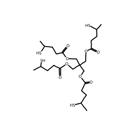 CC(S)CCC(=O)OCC(COC(=O)CCC(C)S)(COC(=O)CCC(C)S)COC(=O)CCC(C)S